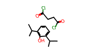 CC(C)c1cccc(C(C)C)c1O.O=C(Cl)CCC(=O)Cl